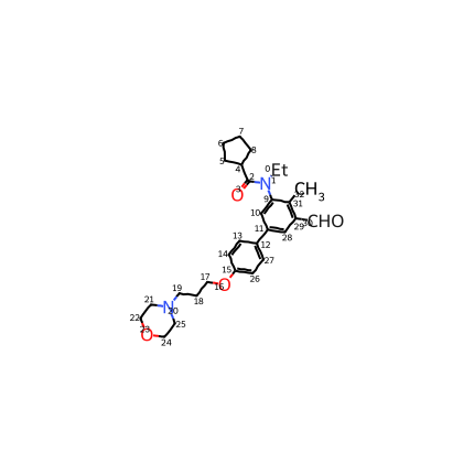 CCN(C(=O)C1CCCC1)c1cc(-c2ccc(OCCCN3CCOCC3)cc2)cc(C=O)c1C